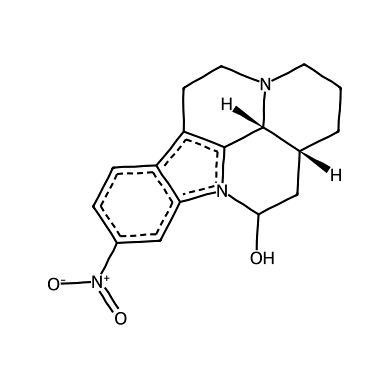 O=[N+]([O-])c1ccc2c3c4n(c2c1)C(O)C[C@H]1CCCN(CC3)[C@@H]41